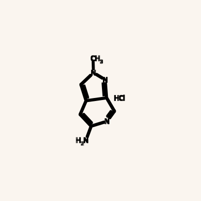 Cl.Cn1cc2cc(N)ncc2n1